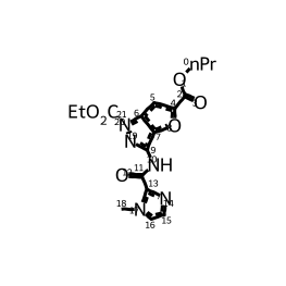 CCCOC(=O)c1cc2c(o1)c(NC(=O)c1nccn1C)nn2C(=O)OCC